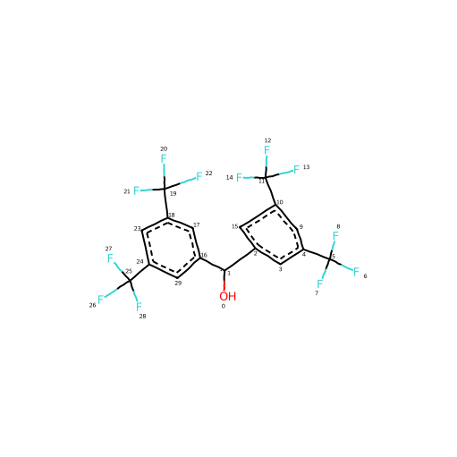 O[C](c1cc(C(F)(F)F)cc(C(F)(F)F)c1)c1cc(C(F)(F)F)cc(C(F)(F)F)c1